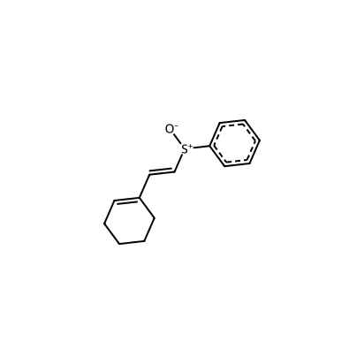 [O-][S+](C=CC1=CCCCC1)c1ccccc1